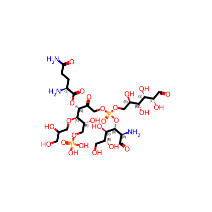 NC(=O)CC[C@H](N)C(=O)O[C@H](C(=O)COP(=O)(OC[C@@H](O)[C@@H](O)[C@H](O)[C@@H](O)C=O)O[C@@H]([C@H](O)[C@H](O)CO)[C@@H](N)C=O)[C@H](OCC(O)CO)[C@H](O)COP(=O)(O)O